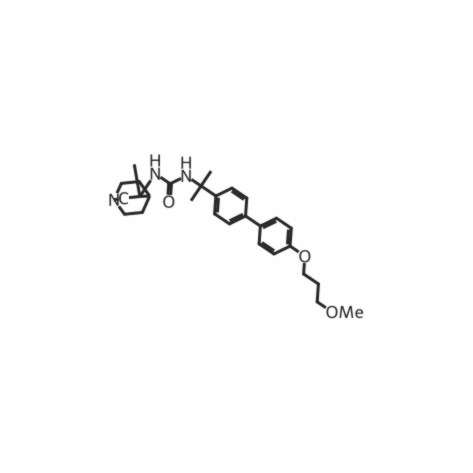 COCCCOc1ccc(-c2ccc(C(C)(C)NC(=O)NC3(C)CN4CCC3CC4)cc2)cc1